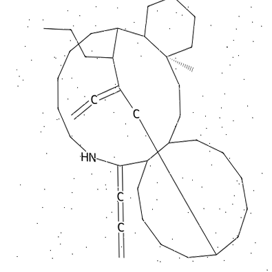 C=C=C=C1NCCCCCC2C(CCC)C(=C=C)CC3CCCCCC(CC[C@]4(C)CCCCC24)C1CCCC3